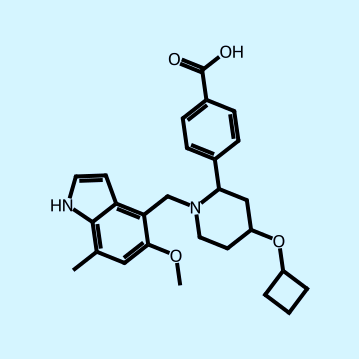 COc1cc(C)c2[nH]ccc2c1CN1CCC(OC2CCC2)CC1c1ccc(C(=O)O)cc1